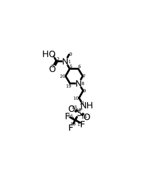 CN(C(=O)O)C1CCN(CCNS(=O)(=O)C(F)(F)F)CC1